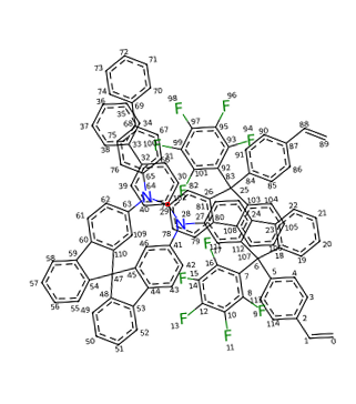 C=Cc1ccc(C2(c3c(F)c(F)c(F)c(F)c3F)c3ccccc3-c3ccc(N(c4ccc(-c5ccccc5)cc4)c4ccc5c(c4)C4(c6ccccc6-5)c5ccccc5-c5ccc(N(c6ccc(-c7ccccc7)cc6)c6ccc7c(c6)C(c6ccc(C=C)cc6)(c6c(F)c(F)c(F)c(F)c6F)c6ccccc6-7)cc54)cc32)cc1